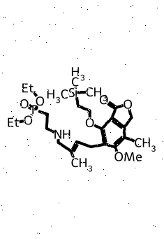 CCOP(=O)(CCNC/C(C)=C/Cc1c(OC)c(C)c2c(c1OCC[Si](C)(C)C)C(=O)OC2)OCC